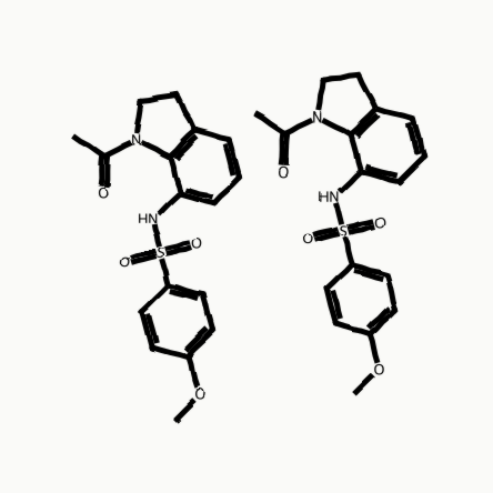 COc1ccc(S(=O)(=O)Nc2cccc3c2N(C(C)=O)CC3)cc1.COc1ccc(S(=O)(=O)Nc2cccc3c2N(C(C)=O)CC3)cc1